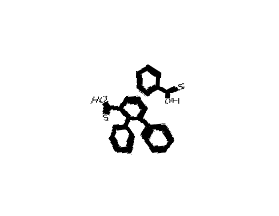 OC(=S)c1cccc(-c2ccccc2)c1-c1ccccc1.OC(=S)c1ccccc1